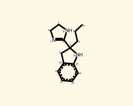 CCCC1(C2=NCCN2)Cc2ccccc2N1